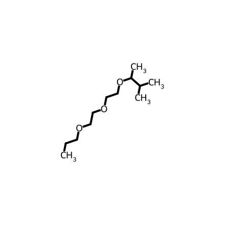 CCCOCCOCCOC(C)C(C)C